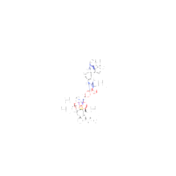 COc1cc(C)c(S(=O)(=O)N(C)CCOCC(=O)N(C)Cc2ccc(CN(C)C3CCCC3)cc2)c(C)c1